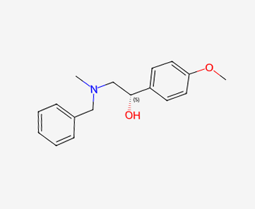 COc1ccc([C@H](O)CN(C)Cc2ccccc2)cc1